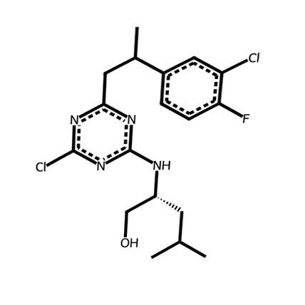 CC(C)C[C@H](CO)Nc1nc(Cl)nc(CC(C)c2ccc(F)c(Cl)c2)n1